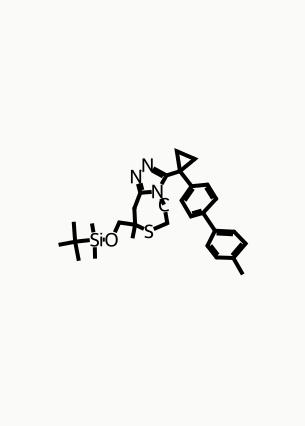 Cc1ccc(-c2ccc(C3(c4nnc5n4CCSC(C)(CO[Si](C)(C)C(C)(C)C)C5)CC3)cc2)cc1